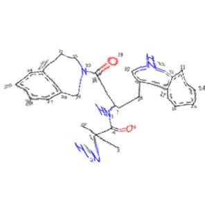 CC(C)(N)C(=O)NC(Cc1c[nH]c2ccccc12)C(=O)N1CCc2ccccc2C1